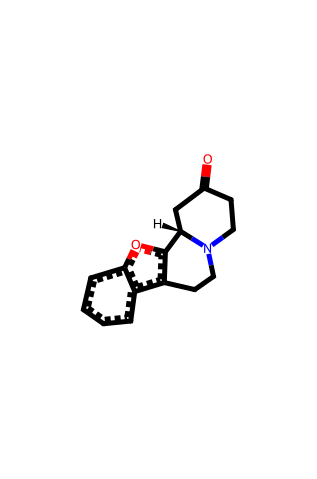 O=C1CCN2CCc3c(oc4ccccc34)[C@@H]2C1